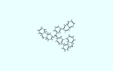 c1cc(-c2ccc3ccccc3c2)cc(N(c2ccc(-c3cccc4sc5ccccc5c34)cc2)c2ccc3sc4ccccc4c3c2)c1